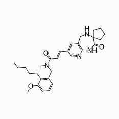 CCCCCc1c(CN(C)C(=O)/C=C/c2cnc3c(c2)CNC2(CCCC2)C(=O)N3)cccc1OC